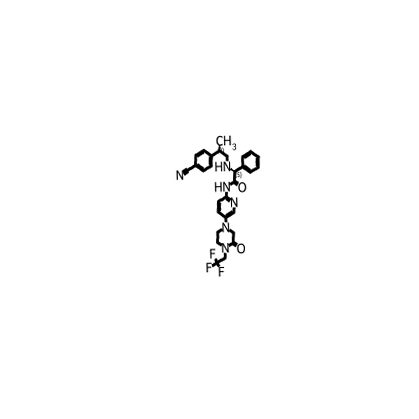 C[C@@H](CN[C@H](C(=O)Nc1ccc(N2CCN(CC(F)(F)F)C(=O)C2)cn1)c1ccccc1)c1ccc(C#N)cc1